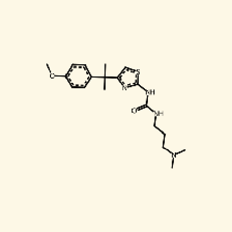 COc1ccc(C(C)(C)c2csc(NC(=O)NCCCN(C)C)n2)cc1